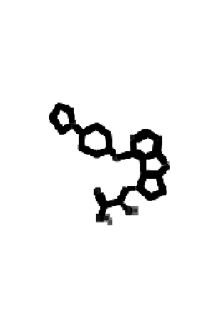 NC(=O)[C@@H](O)C[C@H]1CCc2sc3ncnc(OC4CCC(N5CCCC5)CC4)c3c21